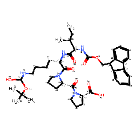 CC[C@H](C)[C@H](NC(=O)OCC1c2ccccc2-c2ccccc21)C(=O)N[C@@H](CCCCNC(O)OC(C)(C)C)C(=O)N1CCC[C@H]1C(=O)N1CCC[C@H]1C(=O)O